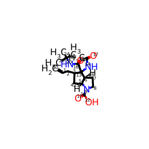 C=CCC1C[C@@H]2[C@@H](CCN2C(=O)O)C1(NC(C)=O)C(=O)NC(C)(C)C